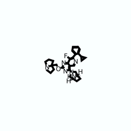 Fc1c(-c2ccccc2C2CC2)ncc2c(N3C[C@H]4CC[C@@H](C3)N4)nc(OCC34CCCN3CCC4)nc12